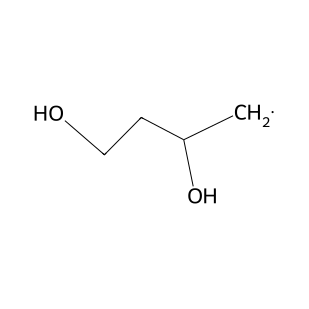 [CH2]C(O)CCO